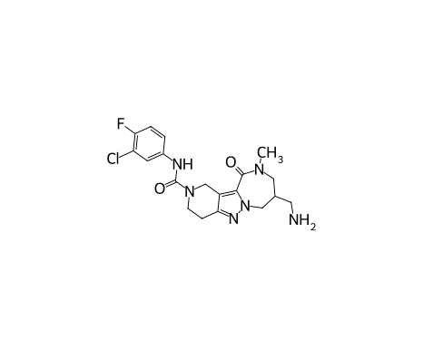 CN1CC(CN)Cn2nc3c(c2C1=O)CN(C(=O)Nc1ccc(F)c(Cl)c1)CC3